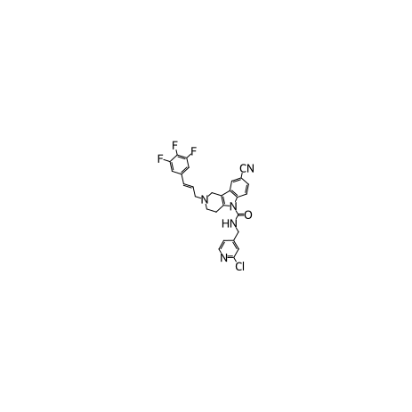 N#Cc1ccc2c(c1)c1c(n2C(=O)NCc2ccnc(Cl)c2)CCN(C/C=C/c2cc(F)c(F)c(F)c2)C1